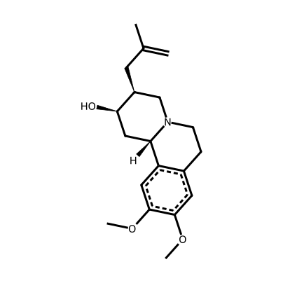 C=C(C)C[C@H]1CN2CCc3cc(OC)c(OC)cc3[C@@H]2C[C@H]1O